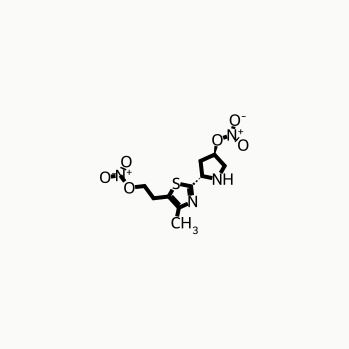 Cc1nc([C@@H]2C[C@@H](O[N+](=O)[O-])CN2)sc1CCO[N+](=O)[O-]